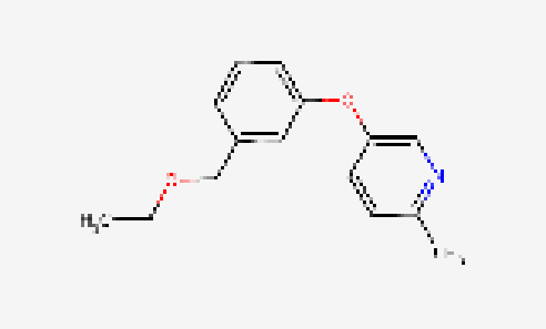 CCOCc1cccc(Oc2ccc(C)nc2)c1